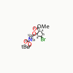 COC(=O)c1ccc(Br)cc1OC1CN(C(=O)OC(C)(C)C)C1